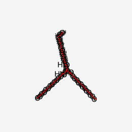 COCCOCCOCCOCCOCCOCCOCCOCCOCCOCCOCCOCCCC(=O)CCOCC(C)(COCCC(=O)NCCOCCOCCOCCOCCOCCOCCOCCOCCOCCOCCOCCOC)COCCC(=O)NCCOCCOCCOCCOCCOCCOCCOCCOCCOCCOC(C)COCCOC